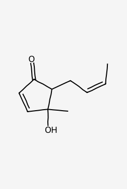 C/C=C\CC1C(=O)C=CC1(C)O